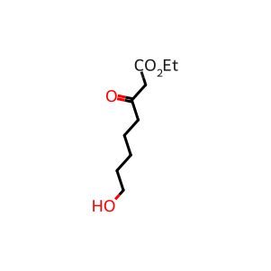 CCOC(=O)CC(=O)CCCCCO